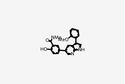 CNC(=O)c1cc(-c2cnc3[nH]cc(-c4ccccc4OC)c3c2)ccc1O